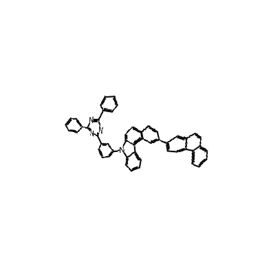 c1ccc(-c2nc(-c3ccccc3)nc(-c3cccc(-n4c5ccccc5c5c6cc(-c7ccc8c(ccc9ccccc98)c7)ccc6ccc54)c3)n2)cc1